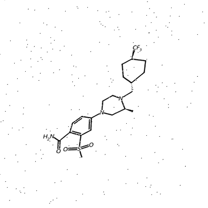 C[C@H]1CN(c2ccc(C(N)=O)c(S(C)(=O)=O)c2)CCN1C[C@H]1CC[C@H](C(F)(F)F)CC1